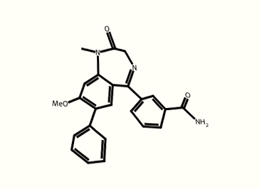 COc1cc2c(cc1-c1ccccc1)C(c1cccc(C(N)=O)c1)=NCC(=O)N2C